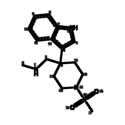 CNCC1(c2c[nH]c3ccccc23)CCN(S(C)(=O)=O)CC1